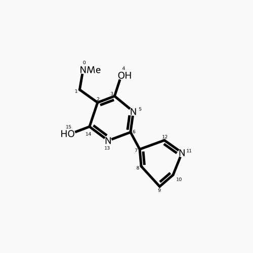 CNCc1c(O)nc(-c2cccnc2)nc1O